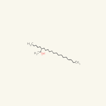 CCCCCCCCCCCCCCCC(CCCCC)C(C)O